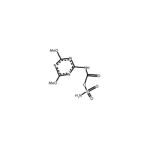 COc1nc(NC(=O)OS(N)(=O)=O)nc(OC)n1